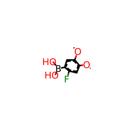 COc1cc(F)c(B(O)O)cc1OC